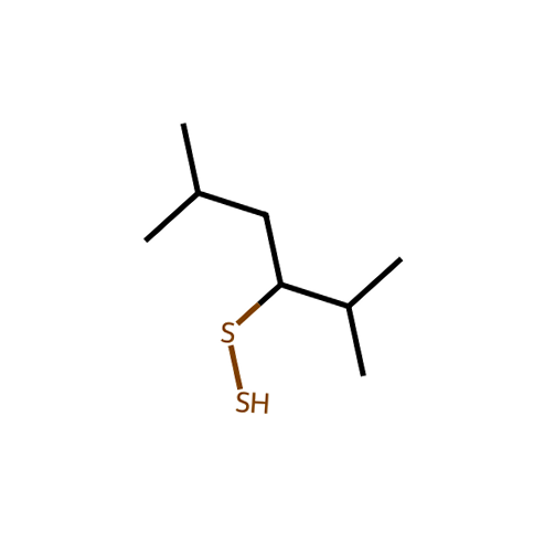 CC(C)CC(SS)C(C)C